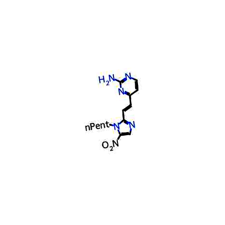 CCCCCn1c([N+](=O)[O-])cnc1/C=C/c1ccnc(N)n1